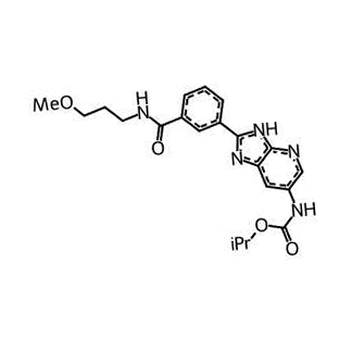 COCCCNC(=O)c1cccc(-c2nc3cc(NC(=O)OC(C)C)cnc3[nH]2)c1